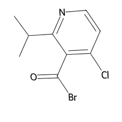 CC(C)c1nccc(Cl)c1C(=O)Br